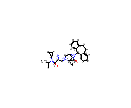 CC(C#N)N(C(=O)C(N)CN1CC2C[C@H]1C(=O)N2C1c2ccccc2CCc2ccccc21)C1CC1